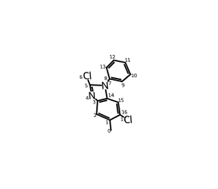 Cc1cc2nc(Cl)n(-c3ccccc3)c2cc1Cl